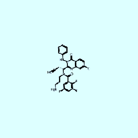 C#CC[C@H](c1nc2cc(Cl)ccc2c(=O)n1Nc1ccccc1)N(CCCN)C(=O)c1cc(F)cc(F)c1F